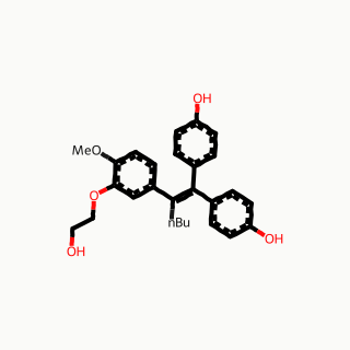 CCCCC(=C(c1ccc(O)cc1)c1ccc(O)cc1)c1ccc(OC)c(OCCO)c1